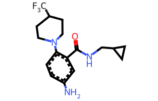 Nc1ccc(N2CCC(C(F)(F)F)CC2)c(C(=O)NCC2CC2)c1